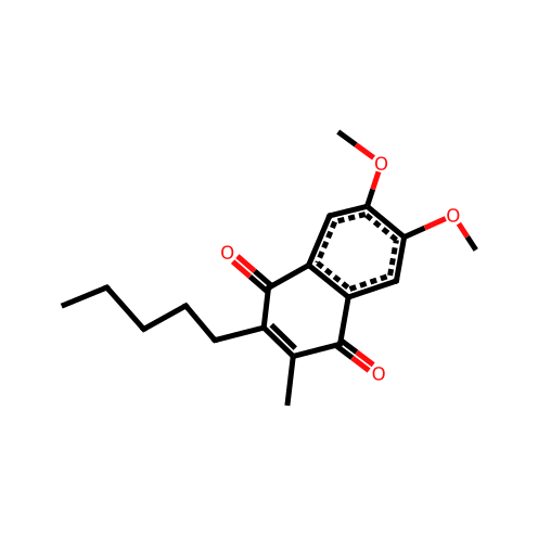 CCCCCC1=C(C)C(=O)c2cc(OC)c(OC)cc2C1=O